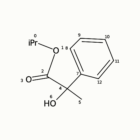 CC(C)OC(=O)C(C)(O)c1ccccc1